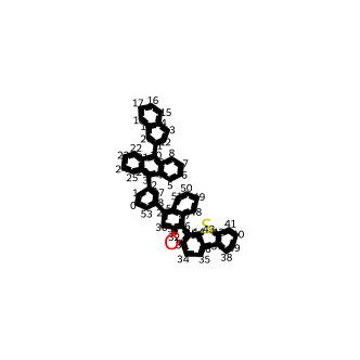 c1cc(-c2c3ccccc3c(-c3ccc4ccccc4c3)c3ccccc23)cc(-c2cc3oc4ccc5c6ccccc6sc5c4c3c3ccccc23)c1